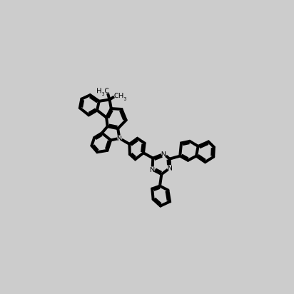 CC1(C)c2ccccc2-c2c1ccc1c2c2ccccc2n1-c1ccc(-c2nc(-c3ccccc3)nc(-c3ccc4ccccc4c3)n2)cc1